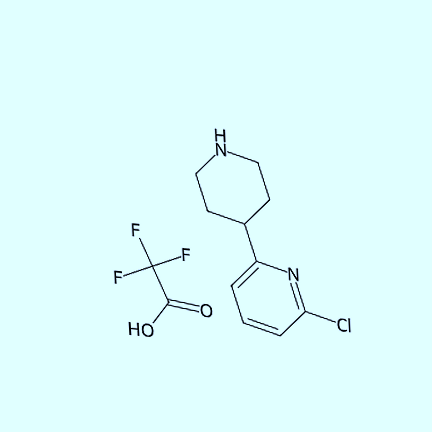 Clc1cccc(C2CCNCC2)n1.O=C(O)C(F)(F)F